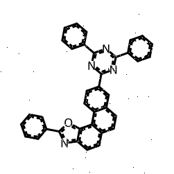 c1ccc(-c2nc(-c3ccccc3)nc(-c3ccc4c(ccc5ccc6nc(-c7ccccc7)oc6c54)c3)n2)cc1